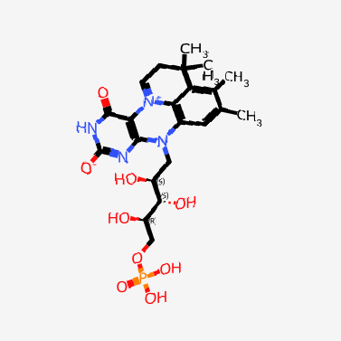 Cc1cc2c3c(c1C)C(C)(C)CC=[N+]3c1c(nc([O-])[nH]c1=O)N2C[C@H](O)[C@H](O)[C@H](O)COP(=O)(O)O